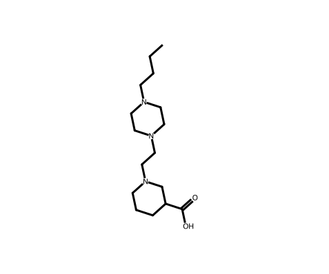 CCCCN1CCN(CCN2CCCC(C(=O)O)C2)CC1